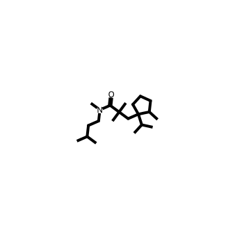 CC(C)CCN(C)C(=O)C(C)(C)CC1(C(C)C)CCCC1C